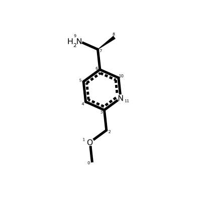 COCc1ccc([C@H](C)N)cn1